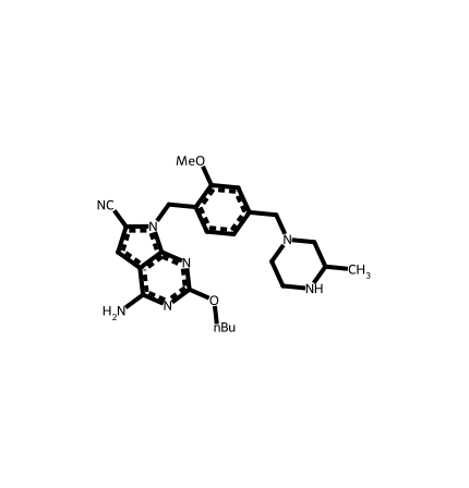 CCCCOc1nc(N)c2cc(C#N)n(Cc3ccc(CN4CCNC(C)C4)cc3OC)c2n1